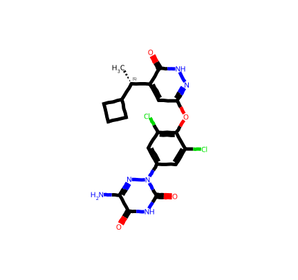 C[C@H](c1cc(Oc2c(Cl)cc(-n3nc(N)c(=O)[nH]c3=O)cc2Cl)n[nH]c1=O)C1CCC1